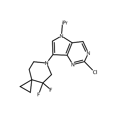 CC(C)n1cc(N2CCC3(CC3)C(F)(F)C2)c2nc(Cl)ncc21